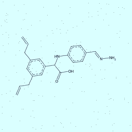 C=CCc1cc(CC=C)cc(C(Nc2ccc(C=NN)cc2)C(=O)O)c1